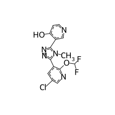 Cn1c(-c2cnccc2O)nnc1-c1cc(Cl)cnc1OC(F)F